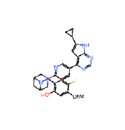 COc1cc(O)c(CN2C3CC2CN(c2ccc(-c4ncnc5[nH]c(C6CC6)cc45)cn2)C3)cc1F